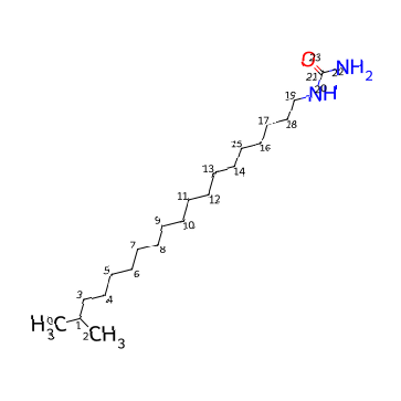 CC(C)CCCCCCCCCCCCCCCCCNC(N)=O